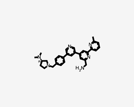 Cc1cccc(-c2cc(-c3cncc(-c4ccc(CN5CC[C@@H](N(C)C)C5)cc4)c3)cc(CN)n2)n1